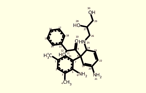 Cc1cc(C)c(N)c(C2(C(=O)C(O)c3ccccc3)C=C(N)C=CC2NCC(O)CO)c1